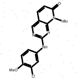 CCCCn1c(=O)ccc2cnc(Nc3ccc(OC)c(Cl)c3)nc21